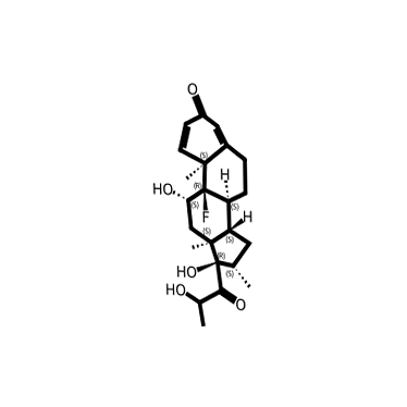 CC(O)C(=O)[C@@]1(O)[C@@H](C)C[C@H]2[C@@H]3CCC4=CC(=O)C=C[C@]4(C)[C@@]3(F)[C@@H](O)C[C@@]21C